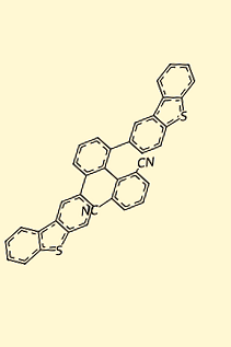 N#Cc1cccc(C#N)c1-c1c(-c2ccc3sc4ccccc4c3c2)cccc1-c1ccc2sc3ccccc3c2c1